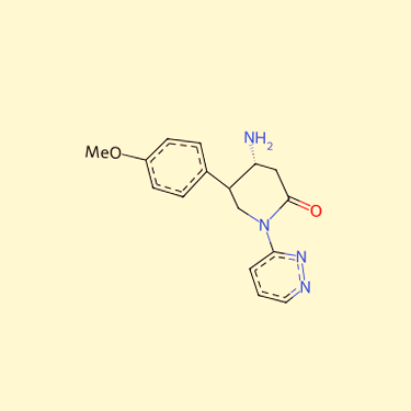 COc1ccc(C2CN(c3cccnn3)C(=O)C[C@H]2N)cc1